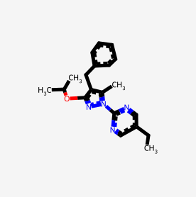 CCc1cnc(-n2nc(OC(C)C)c(Cc3ccccc3)c2C)nc1